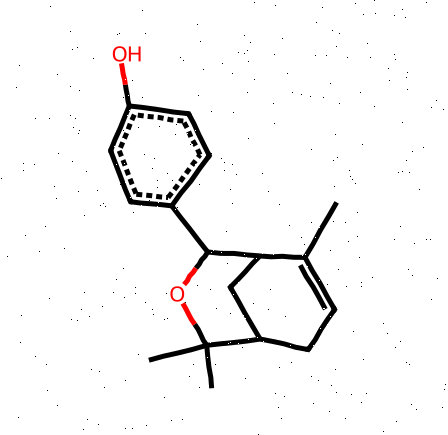 CC1=CCC2CC1C(c1ccc(O)cc1)OC2(C)C